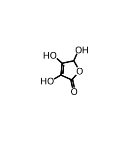 O=C1OC(O)C(O)=C1O